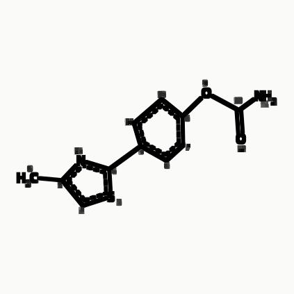 Cc1csc(-c2ccc(OC(N)=O)cc2)n1